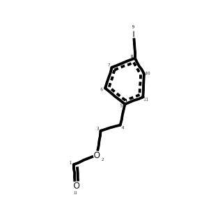 O=[C]OCCc1ccc(I)cc1